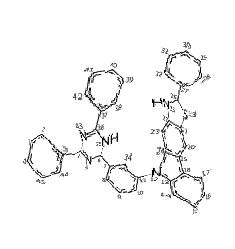 c1ccc(C2=NC(c3cccc(-n4c5ccccc5c5cc6c(cc54)NC(c4ccccc4)S6)c3)NC(c3ccccc3)=N2)cc1